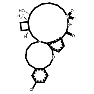 C[C@@]12CC[C@@H]1CN1CCCCc3cc(Cl)ccc3COc3ccc(cc31)C(=O)NS(=O)(=O)CCCCC[C@H]2O